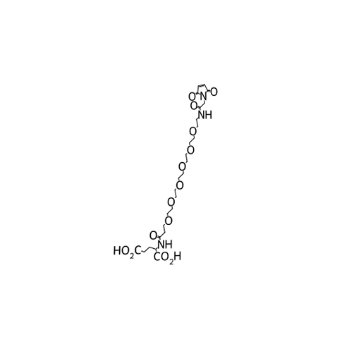 O=C(O)CCC(NC(=O)CCOCCOCCOCCOCCOCCOCCNC(=O)CN1C(=O)C=CC1=O)C(=O)O